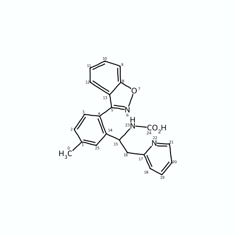 Cc1ccc(-c2noc3ccccc23)c(C(Cc2ccccn2)NC(=O)O)c1